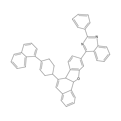 C1=C(c2cccc3ccccc23)CCC(C2=Cc3ccccc3C3Oc4cc(-c5nc(-c6ccccc6)nc6ccccc56)ccc4C23)C1